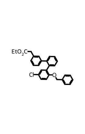 CCOC(=O)Cc1cccc(-c2ccccc2-c2cc(Cl)ccc2OCc2ccccc2)c1